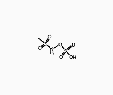 CS(=O)(=O)NOS(=O)(=O)O